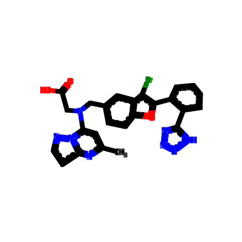 Cc1cc(N(CC(=O)O)Cc2ccc3oc(-c4ccccc4-c4nnn[nH]4)c(Br)c3c2)n2nccc2n1